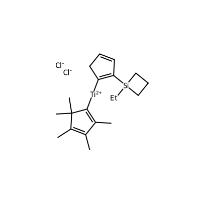 CC[Si]1(C2=[C]([Ti+2][C]3=C(C)C(C)=C(C)C3(C)C)CC=C2)CCC1.[Cl-].[Cl-]